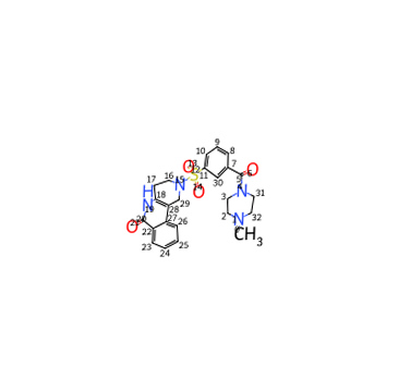 CN1CCN(C(=O)c2cccc(S(=O)(=O)N3CCc4[nH]c(=O)c5ccccc5c4C3)c2)CC1